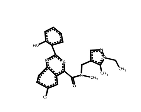 CCn1ncc(CN(C)C(=O)c2nc(-c3ccccc3O)nc3ccc(Cl)cc23)c1C